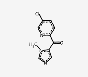 Cn1cncc1C(=O)c1ccc(Cl)cn1